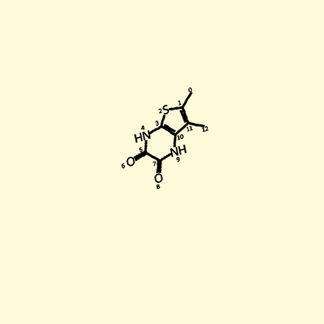 Cc1sc2[nH]c(=O)c(=O)[nH]c2c1C